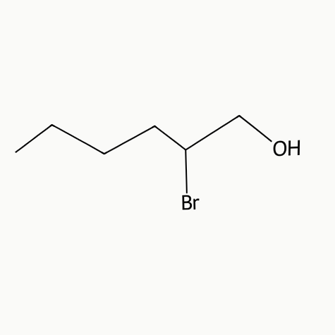 CCCCC(Br)CO